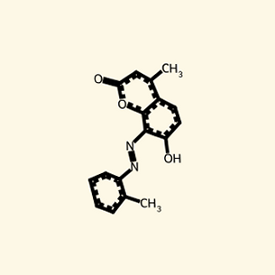 Cc1ccccc1N=Nc1c(O)ccc2c(C)cc(=O)oc12